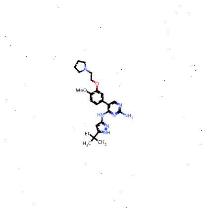 CCC(C)(C)c1cc(Nc2nc(N)ncc2-c2ccc(OC)c(OCCN3CCCC3)c2)n[nH]1